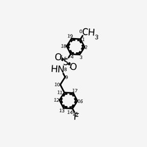 Cc1ccc(S(=O)(=O)NCCc2ccc(F)cc2)cc1